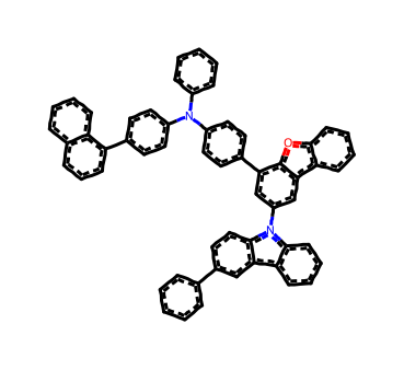 c1ccc(-c2ccc3c(c2)c2ccccc2n3-c2cc(-c3ccc(N(c4ccccc4)c4ccc(-c5cccc6ccccc56)cc4)cc3)c3oc4ccccc4c3c2)cc1